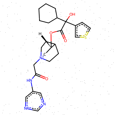 O=C(C[N+]12CCC(CC1)[C@@H](OC(=O)C(O)(c1ccsc1)C1CCCCC1)C2)Nc1cncnc1